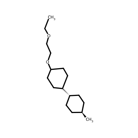 CCOCCOC1CCC([C@H]2CC[C@H](C)CC2)CC1